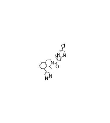 CC1c2c(cccc2-c2cnn(C)c2)CCN1C(=O)c1cc2ncc(Cl)cn2n1